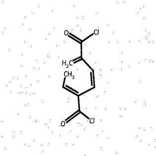 C=C(/C=C\C(=C/C)C(=O)Cl)C(=O)Cl